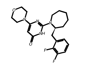 O=c1cc(N2CCOCC2)nc(N2CCCCC[C@H]2Cc2cccc(F)c2F)[nH]1